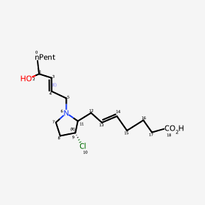 CCCCCC(O)/C=C/CN1CC[C@@H](Cl)C1CC=CCCCC(=O)O